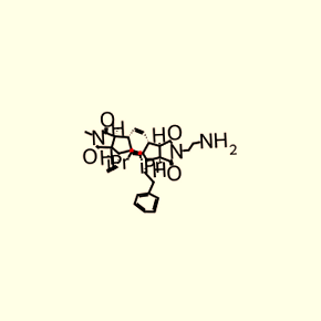 C=C[C@H]1C(=CC(C)C)[C@@H](/C=C\[C@H]2C(=CC(C)C)[C@@H](CCc3ccccc3)[C@@H]3C(=O)N(CCN)C(=O)[C@@H]32)[C@@H]2C(=O)N(C)C(=O)[C@@H]21